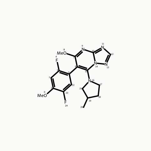 COc1cc(F)c(-c2c(OC)nc3ncnn3c2N2CCC(C)C2)cc1F